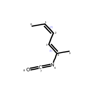 C/C=C\C=C(/C)N=C=O